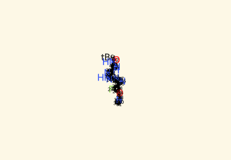 CC(C)(C)C(=O)Nc1cncc(-c2cnc3[nH]nc(-c4cc5c(-c6cc(F)cc(OCCN7CCCC7)c6)cncc5[nH]4)c3c2)c1